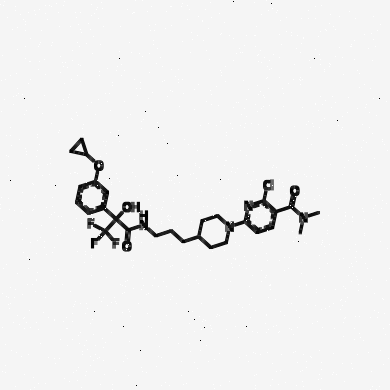 CN(C)C(=O)c1ccc(N2CCC(CCCNC(=O)C(O)(c3cccc(OC4CC4)c3)C(F)(F)F)CC2)nc1Cl